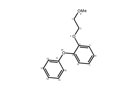 COCCOc1c[c]ccc1Oc1ccccc1